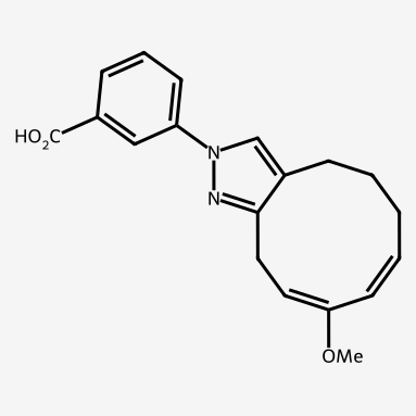 COC1=C/Cc2nn(-c3cccc(C(=O)O)c3)cc2CCC/C=C\1